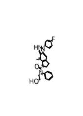 C[C@H]1C2=CNN(c3ccc(F)cc3)C2=CC2=C1[C@@H](C(=O)N(CCO)c1ccccc1)CC2